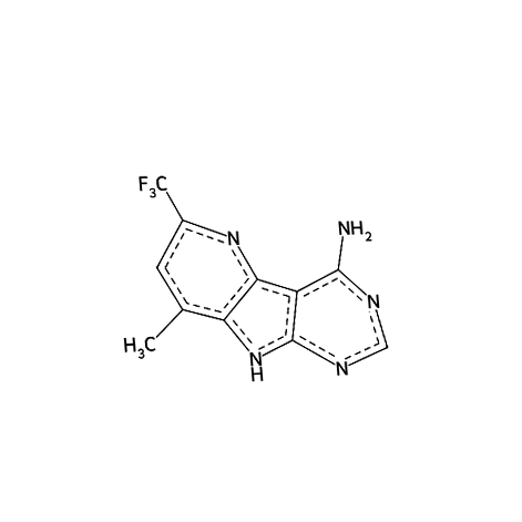 Cc1cc(C(F)(F)F)nc2c1[nH]c1ncnc(N)c12